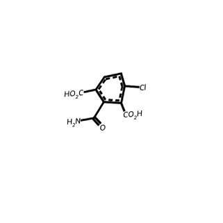 NC(=O)c1c(C(=O)O)ccc(Cl)c1C(=O)O